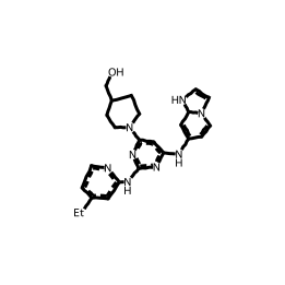 CCc1ccnc(Nc2nc(NC3=CC4NC=CN4C=C3)cc(N3CCC(CO)CC3)n2)c1